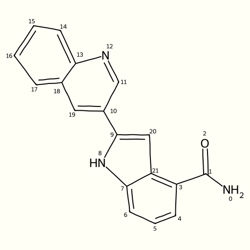 NC(=O)c1cccc2[nH]c(-c3cnc4ccccc4c3)cc12